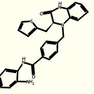 Nc1ccccc1NC(=O)c1ccc(CN2c3ccccc3NC(=O)[C@@H]2Cc2cccs2)cc1